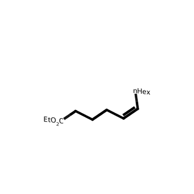 CCCCCC/C=C\CCCC(=O)OCC